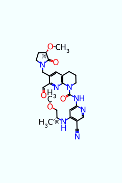 COC[C@@H](C)Nc1cc(NC(=O)N2CCCc3cc(CN4CC[C@@H](OC)C4=O)c(C=O)nc32)ncc1C#N